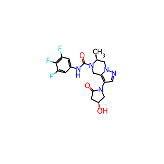 C[C@H]1Cn2ncc(N3C[C@@H](O)CC3=O)c2CN1C(=O)Nc1cc(F)c(F)c(F)c1